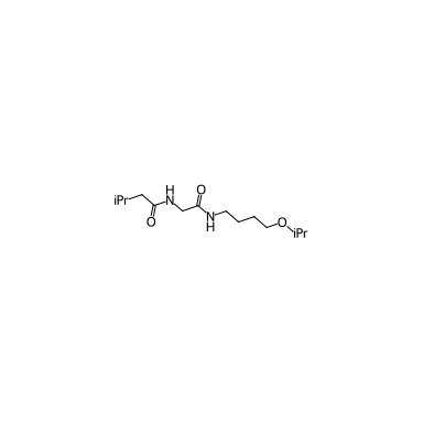 CC(C)CC(=O)NCC(=O)NCCCCOC(C)C